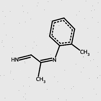 C/C(C=N)=N/c1ccccc1C